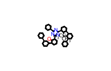 C[Si]1(C)c2c(-c3ccccc3)cccc2-c2cccc(-c3nc(-c4ccccc4)nc(-c4cccc5c4oc4c(-c6ccccc6)cccc45)n3)c21